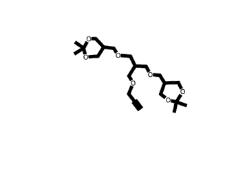 C#CCOCC(COCC1COC(C)(C)OC1)COCC1COC(C)(C)OC1